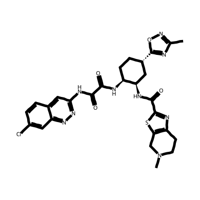 Cc1noc([C@H]2CC[C@H](NC(=O)C(=O)Nc3cc4ccc(Cl)cc4nn3)[C@H](NC(=O)c3nc4c(s3)CN(C)CC4)C2)n1